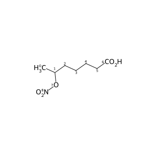 CC(CCCCC(=O)O)O[N+](=O)[O-]